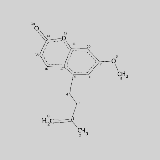 C=C(C)CCc1cc(OC)cc2oc(=O)ccc12